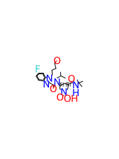 COCCCCn1c(C(=O)N(CC(C)C)[C@H]2C[C@@H](C(=O)NC(C)(C)C)CN(C(=O)O)C2)nc2ccc(F)cc21